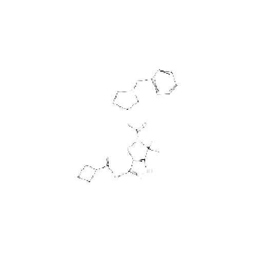 CC1(C)c2[nH]nc(NC(=O)C3CCC3)c2CN1C(=O)N[C@@H]1CCN(Cc2ccccc2)C1